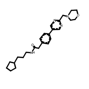 O=C(Cc1ccc(-c2cnc(CN3CCOCC3)nc2)cc1)NCCCC1CCCC1